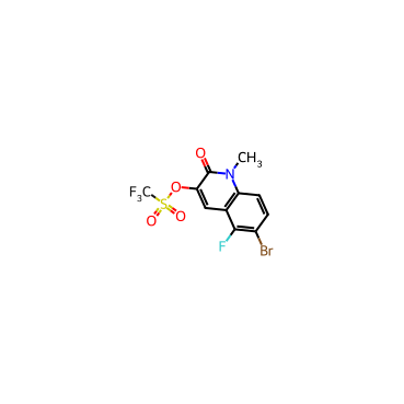 Cn1c(=O)c(OS(=O)(=O)C(F)(F)F)cc2c(F)c(Br)ccc21